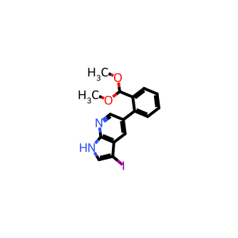 COC(OC)c1ccccc1-c1cnc2[nH]cc(I)c2c1